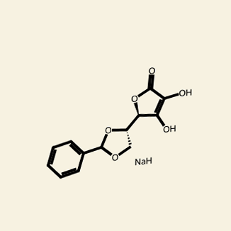 O=C1O[C@H]([C@@H]2COC(c3ccccc3)O2)C(O)=C1O.[NaH]